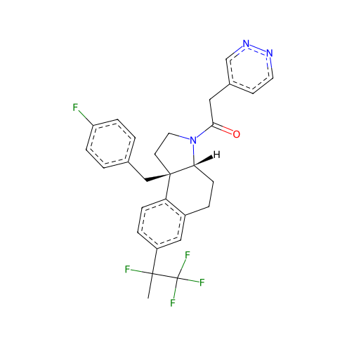 CC(F)(c1ccc2c(c1)CC[C@H]1N(C(=O)Cc3ccnnc3)CC[C@@]21Cc1ccc(F)cc1)C(F)(F)F